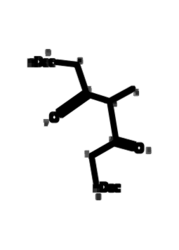 CCCCCCCCCCCC(=O)[C](C)C(=O)CCCCCCCCCCC